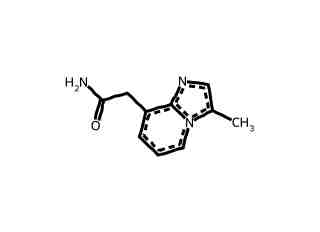 Cc1cnc2c(CC(N)=O)cccn12